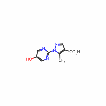 O=C(O)c1cnn(-c2ncc(O)cn2)c1C(F)(F)F